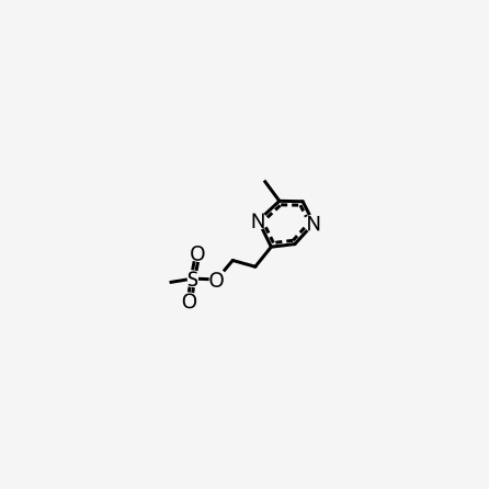 Cc1cncc(CCOS(C)(=O)=O)n1